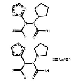 S=C([S-])N(c1nccs1)N(C(=S)S)N1CCCC1.S=C([S-])N(c1nccs1)N(C(=S)S)N1CCCC1.[O]=[Mo+2]=[O]